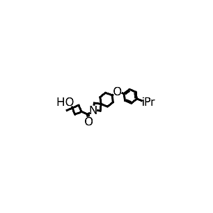 CC(C)c1ccc(OC2CCC3(CC2)CN(C(=O)C2CC(C)(O)C2)C3)cc1